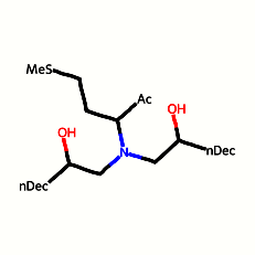 CCCCCCCCCCC(O)CN(CC(O)CCCCCCCCCC)C(CCSC)C(C)=O